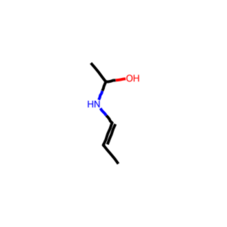 CC=CNC(C)O